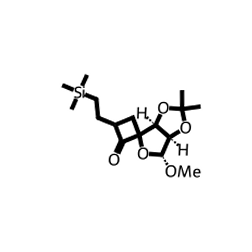 CO[C@@H]1OC2(CC(CC[Si](C)(C)C)C2=O)[C@H]2OC(C)(C)O[C@@H]12